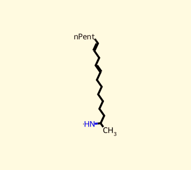 CCCCC/C=C/C/C=C/CCCCCCC(C)[NH]